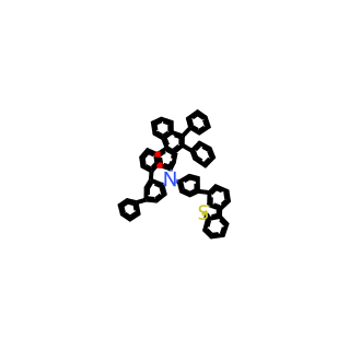 c1ccc(-c2ccc(N(c3ccc(-c4cccc5c4sc4ccccc45)cc3)c3ccc4c(c3)c(-c3ccccc3)c(-c3ccccc3)c3ccccc34)c(-c3ccccc3)c2)cc1